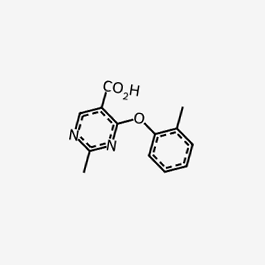 Cc1ncc(C(=O)O)c(Oc2ccccc2C)n1